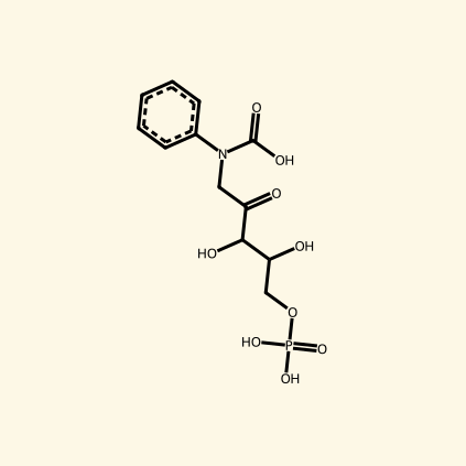 O=C(CN(C(=O)O)c1ccccc1)C(O)C(O)COP(=O)(O)O